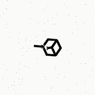 CN1CC2CC(C1)C2I